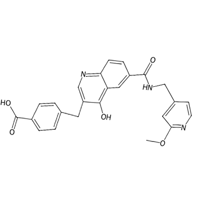 COc1cc(CNC(=O)c2ccc3ncc(Cc4ccc(C(=O)O)cc4)c(O)c3c2)ccn1